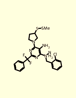 CSSC1CCN(c2nc(C(F)(F)c3ccccc3)nc(N(N)Cc3ccccc3Cl)c2N)C1